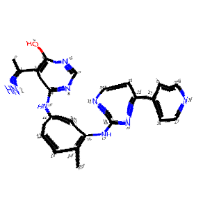 CC(=N)c1c(O)ncnc1Nc1ccc(C)c(Nc2nccc(-c3ccncc3)n2)c1